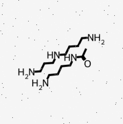 CC(=O)NCCCCN.NCCCCNCCCN